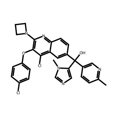 Cc1ccc(C(O)(c2ccc3nc(N4CCC4)c(Oc4ccc(Cl)cc4)c(Cl)c3c2)c2cncn2C)cn1